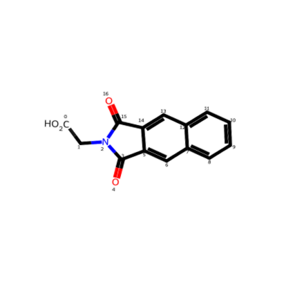 O=C(O)CN1C(=O)c2cc3ccccc3cc2C1=O